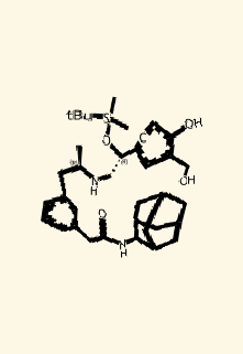 C[C@H](Cc1cccc(CC(=O)NC2C3CC4CC(C3)CC2C4)c1)NC[C@H](O[Si](C)(C)C(C)(C)C)c1ccc(O)c(CO)c1